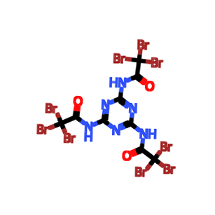 O=C(Nc1nc(NC(=O)C(Br)(Br)Br)nc(NC(=O)C(Br)(Br)Br)n1)C(Br)(Br)Br